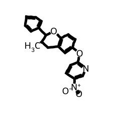 CC1Cc2cc(Oc3ccc([N+](=O)[O-])cn3)ccc2OC1c1ccccc1